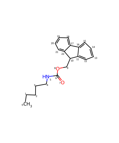 CCCCCNC(=O)OCC1c2ccccc2-c2ccccc21